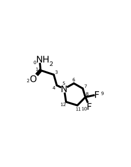 NC(=O)CCN1CCC(F)(F)CC1